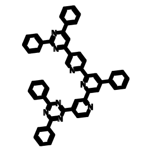 c1ccc(-c2cc(-c3ccc(-c4cc(-c5ccccc5)nc(-c5ccccc5)n4)cn3)nc(-c3cc(-c4nc(-c5ccccc5)nc(-c5ccccc5)n4)ccn3)c2)cc1